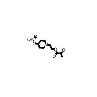 CC(=O)C(=O)OCCN1CCC(O[N+](=O)[O-])CC1